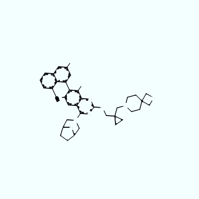 C#Cc1cccc2cc(O)cc(-c3c(F)cc4c(N5CC6CCC(C5)N6)nc(OCC5(CN6CCC7(CC6)CNC7)CC5)nc4c3F)c12